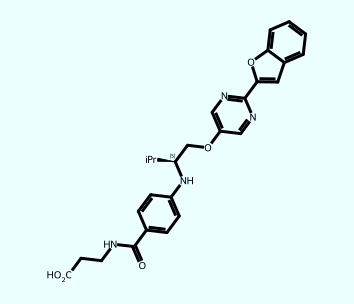 CC(C)[C@@H](COc1cnc(-c2cc3ccccc3o2)nc1)Nc1ccc(C(=O)NCCC(=O)O)cc1